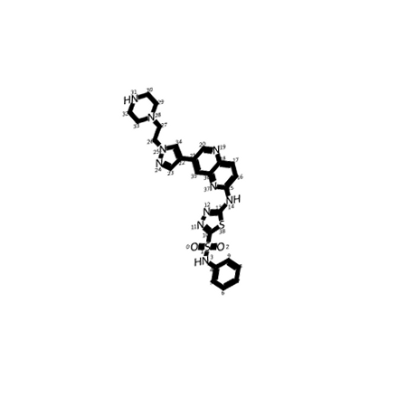 O=S(=O)(Nc1ccccc1)c1nnc(Nc2ccc3ncc(-c4cnn(CCN5CCNCC5)c4)cc3n2)s1